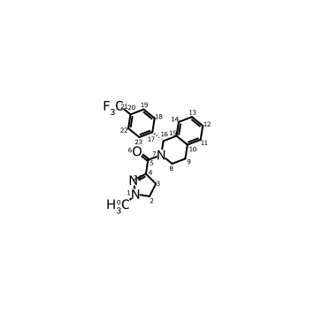 CN1CCC(C(=O)N2CCc3ccccc3[C@H]2c2ccc(C(F)(F)F)cc2)=N1